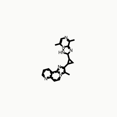 CC1=CN=C(C)C2=NC(C3CC3c3nc4c5cccnc5ccn4c3C)NN12